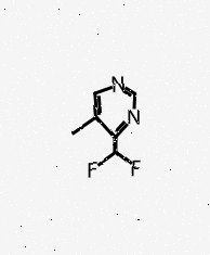 Cc1cncnc1C(F)F